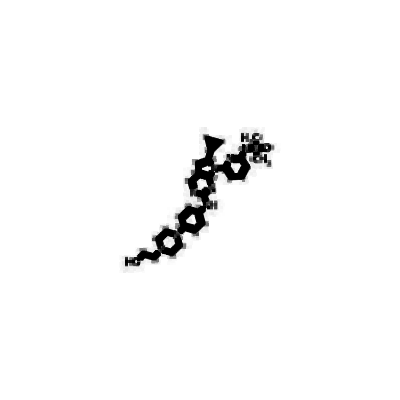 CS(C)(=O)=Nc1cccc(-n2c(C3CC3)cc3cnc(Nc4ccc(N5CCN(CCO)CC5)cc4)nc32)n1